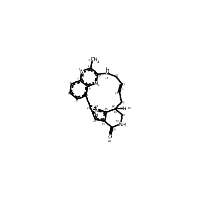 Cc1nc2cccc3c2nc1NC/C=C/C[C@@H]1CNC(=O)c2cc-3[nH]c21